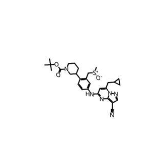 C[S+]([O-])Cc1cc(Nc2cc(CC3CC3)n3ncc(C#N)c3n2)ccc1C1CCCN(C(=O)OC(C)(C)C)C1